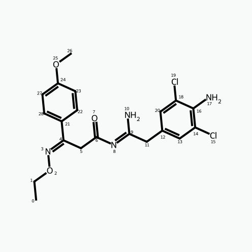 CCO/N=C(\CC(=O)/N=C(\N)Cc1cc(Cl)c(N)c(Cl)c1)c1ccc(OC)cc1